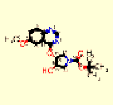 COc1ccc2ncnc(O[C@@H]3CN(C(=O)OC(C)(C)C)C[C@H]3O)c2c1